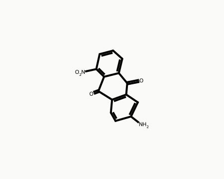 Nc1ccc2c(c1)C(=O)c1cccc([N+](=O)[O-])c1C2=O